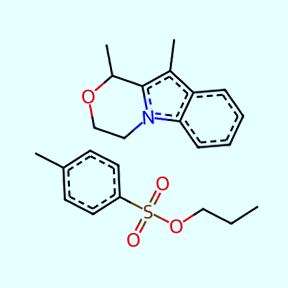 CCCOS(=O)(=O)c1ccc(C)cc1.Cc1c2n(c3ccccc13)CCOC2C